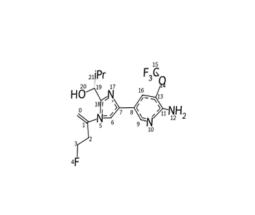 C=C(CCF)n1cc(-c2cnc(N)c(OC(F)(F)F)c2)nc1[C@H](O)C(C)C